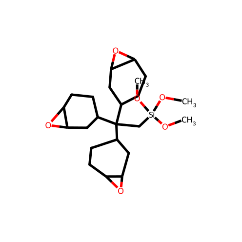 CO[Si](CC(C1CCC2OC2C1)(C1CCC2OC2C1)C1CCC2OC2C1)(OC)OC